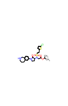 CC(C)OC(=O)CN([C@H]1CCN(c2ccc3c(c2)CCCNC3)C1=O)S(=O)(=O)C=Cc1ccc(Cl)s1